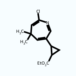 CCOC(=O)C1CC1C1=CC(C)(C)C=C(Cl)N=C1